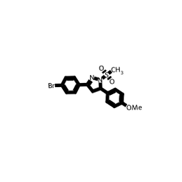 COc1ccc(C2CC(c3ccc(Br)cc3)=NN2S(C)(=O)=O)cc1